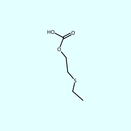 CCSCCOC(=O)O